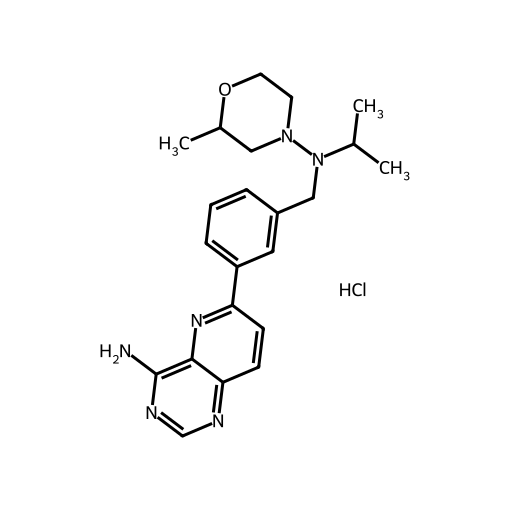 CC1CN(N(Cc2cccc(-c3ccc4ncnc(N)c4n3)c2)C(C)C)CCO1.Cl